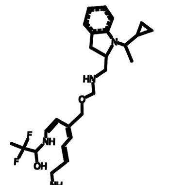 CC(C1CC1)N1c2ccccc2CC1CNCOCC(/C=C\NC(O)C(C)(F)F)=C/C=C/CN